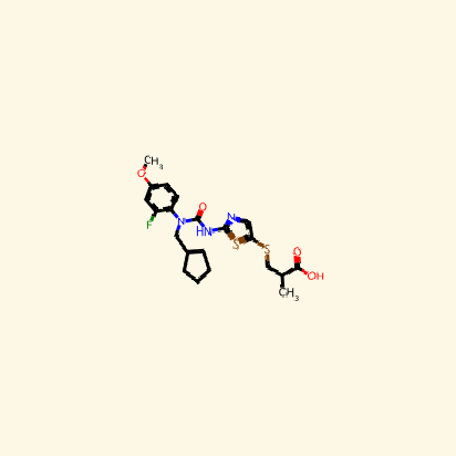 COc1ccc(N(CC2CCCC2)C(=O)Nc2ncc(SCC(C)C(=O)O)s2)c(F)c1